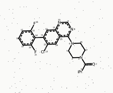 CC(C)C(=O)N1CCN(c2ncnc3cc(-c4c(F)cccc4F)c(Cl)cc23)CC1